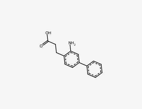 Nc1cc(-c2ccccc2)ccc1CCC(=O)O